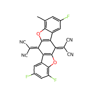 Cc1cc(F)cc2c1oc1c(=C(C#N)C#N)c3c(oc4c(F)cc(F)cc43)c(=C(C#N)C#N)c12